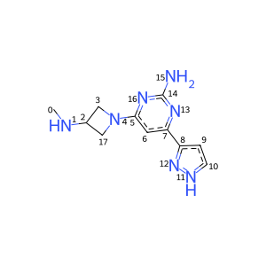 CNC1CN(c2cc(-c3cc[nH]n3)nc(N)n2)C1